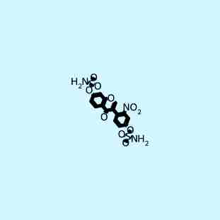 NS(=O)(=O)Oc1ccc(-c2coc3cc(OS(N)(=O)=O)ccc3c2=O)c([N+](=O)[O-])c1